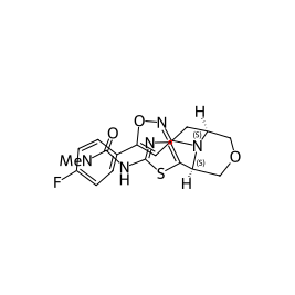 CNC(=O)Nc1nc2c(s1)[C@@H]1COC[C@H](C2)N1c1cc(-c2ccc(F)cc2)on1